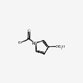 O=C(O)C1=C[SH](C(=O)Br)C=C1